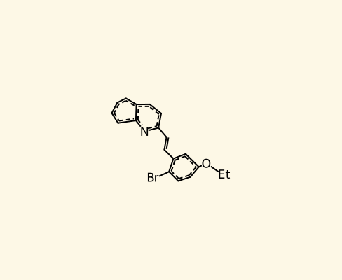 CCOc1ccc(Br)c(C=Cc2ccc3ccccc3n2)c1